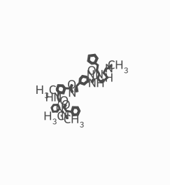 CNCC1CC#C[C@@H](c2nc3ccc(-c4cnc(-c5ccc(C)c(NC(=O)[C@@H]6CCCCN6C(=O)[C@@H](c6ccccc6)N(C)C)c5)o4)cc3[nH]2)N1C(=O)Cc1ccccc1